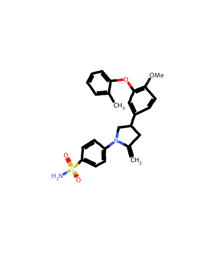 C=C1CC(c2ccc(OC)c(Oc3ccccc3C)c2)CN1c1ccc(S(N)(=O)=O)cc1